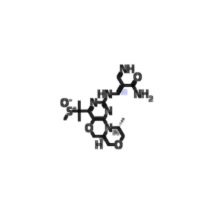 C[C@@H]1COC[C@H]2COc3c(nc(N/C=C(\C=N)C(N)=O)nc3C(C)(C)[S+](C)[O-])N21